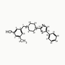 Cc1cc(O)cc(CN2CCN(c3ncc(-c4ccccc4)s3)CC2)c1